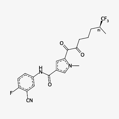 C[C@@H](CCCC(=O)C(=O)c1cc(C(=O)Nc2ccc(F)c(C#N)c2)cn1C)C(F)(F)F